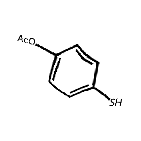 CC(=O)Oc1ccc(S)cc1